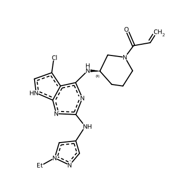 C=CC(=O)N1CCC[C@@H](Nc2nc(Nc3cnn(CC)c3)nc3[nH]cc(Cl)c23)C1